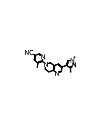 Cc1cc(C#N)cnc1N1CCc2ncc(-c3cn(C)nc3C)cc2C1